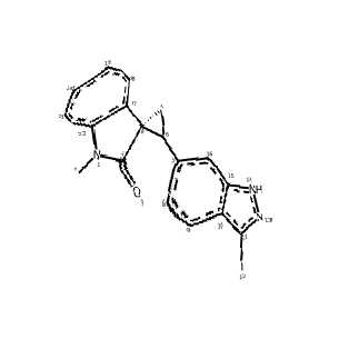 CN1C(=O)[C@@]2(CC2c2ccc3c(I)n[nH]c3c2)c2ccccc21